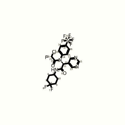 O=C(NC1CCC(F)(F)CC1)[C@H](c1cncnc1)N(C(=O)[C@H](F)Cl)c1ccc(S(F)(F)(F)(F)F)cc1